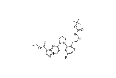 CCOC(=O)c1cnn2ccc(N3CCCN3c3cc(F)cnc3CC[C@@H](C)NC(=O)OC(C)(C)C)nc12